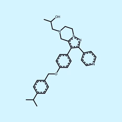 CC(O)CN1CCn2nc(-c3ccncc3)c(-c3ccc(OCc4ccc(C(C)C)cc4)cc3)c2C1